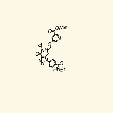 CCNC(=O)c1ccc(-n2nnc(C(=O)NC3CC3)c2CCCOc2cncc(C(=O)OC)c2)cc1